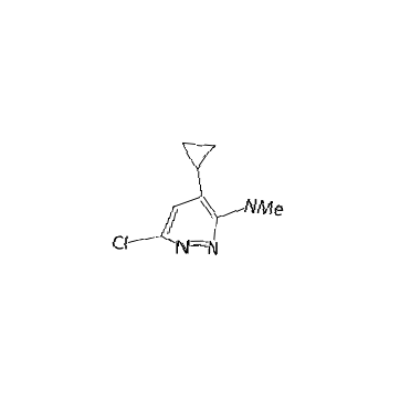 CNc1nnc(Cl)cc1C1CC1